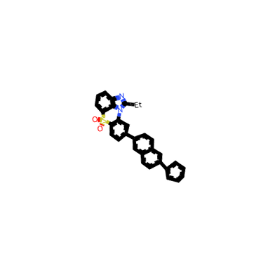 CCc1nc2cccc3c2n1-c1cc(-c2ccc4cc(-c5ccccc5)ccc4c2)ccc1S3(=O)=O